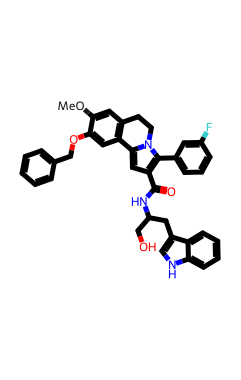 COc1cc2c(cc1OCc1ccccc1)-c1cc(C(=O)NC(CO)Cc3c[nH]c4ccccc34)c(-c3cccc(F)c3)n1CC2